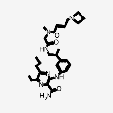 CCCc1nc(Nc2cccc(C(C)CNC(=O)CN(C)C(=O)C=CCN3CCC3)c2)c(C(N)=O)nc1CC